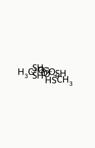 CC(S)C(S)COC(=O)/C=C\C(=O)OCC(S)C(C)S